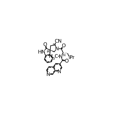 CC(C)C[C@@H](C(=O)N1C[C@]2(C[C@H]1C#N)C(=O)Nc1ccccc12)N(C)C(=O)c1cnc2cnccc2c1